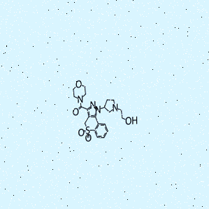 O=C(c1nn(C2CCN(CCO)C2)c2c1CS(=O)(=O)c1ccccc1-2)N1CCOCC1